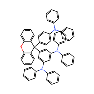 c1ccc(N(c2ccccc2)c2ccc(C3(c4cc(N(c5ccccc5)c5ccccc5)cc(N(c5ccccc5)c5ccccc5)c4)c4ccccc4Oc4ccccc43)cc2)cc1